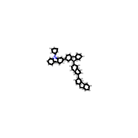 c1ccc(-n2c3ccccc3c3ccc(-c4ccc5c(c4)C(c4ccc6cc(-c7ccc8c(c7)-c7ccccc7C8)ccc6c4)c4ccccc4-5)cc32)cc1